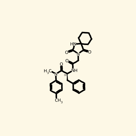 Cc1ccc(N(C)C(=O)[C@H](Cc2ccccc2)NC(=O)CN2C(=O)NC3(CCCCC3)C2=O)cc1